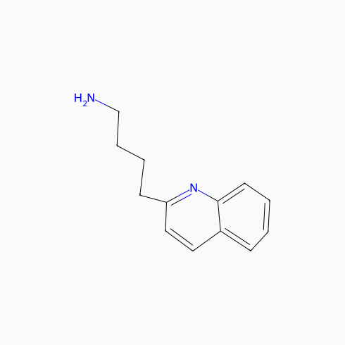 NCCCCc1ccc2ccccc2n1